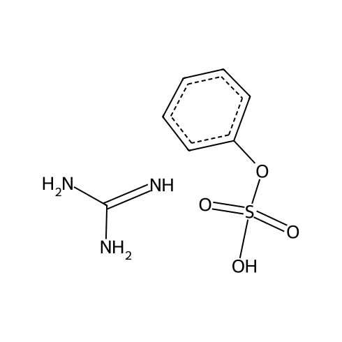 N=C(N)N.O=S(=O)(O)Oc1ccccc1